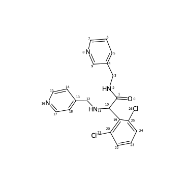 O=C(NCc1cccnc1)C(NCc1ccncc1)c1c(Cl)cccc1Cl